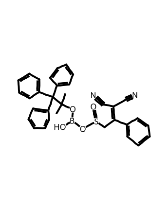 CC(C)(OB(O)OS(=O)CC(=C(C#N)C#N)c1ccccc1)C(c1ccccc1)(c1ccccc1)c1ccccc1